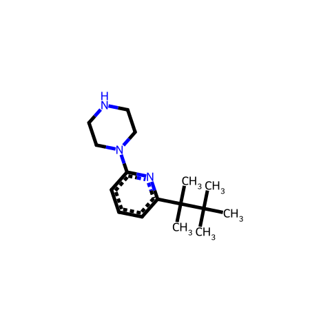 CC(C)(C)C(C)(C)c1cccc(N2CCNCC2)n1